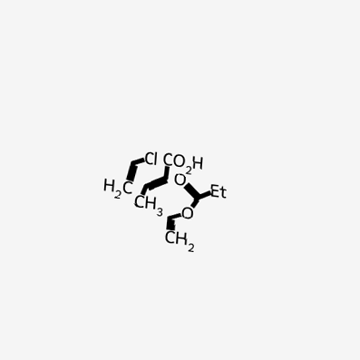 C=CCl.C=COC(=O)CC.CC=CC(=O)O